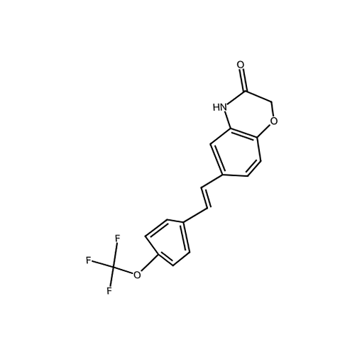 O=C1COc2ccc(/C=C/c3ccc(OC(F)(F)F)cc3)cc2N1